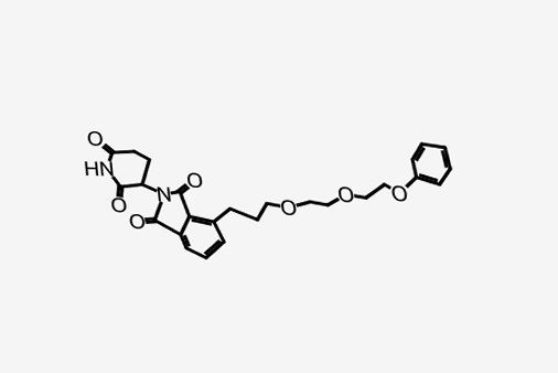 O=C1CCC(N2C(=O)c3cccc(CCCOCCOCCOc4ccccc4)c3C2=O)C(=O)N1